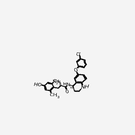 Cc1cc(O)cc(C)c1C[C@H](N)C(=O)N[C@@H]1CCNc2ccc(Oc3cccc(Cl)c3)cc21